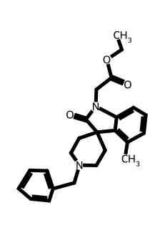 CCOC(=O)CN1C(=O)C2(CCN(Cc3ccccc3)CC2)c2c(C)cccc21